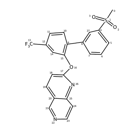 CS(=O)(=O)c1cccc(-c2ccc(C(F)(F)F)cc2Oc2ccc3cnccc3n2)c1